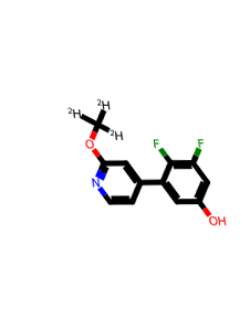 [2H]C([2H])([2H])Oc1cc(-c2cc(O)cc(F)c2F)ccn1